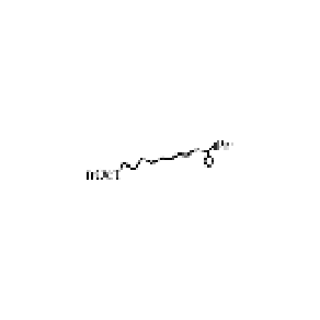 CCCCCCCCCCCCCCCCCC(=O)[C](C)C